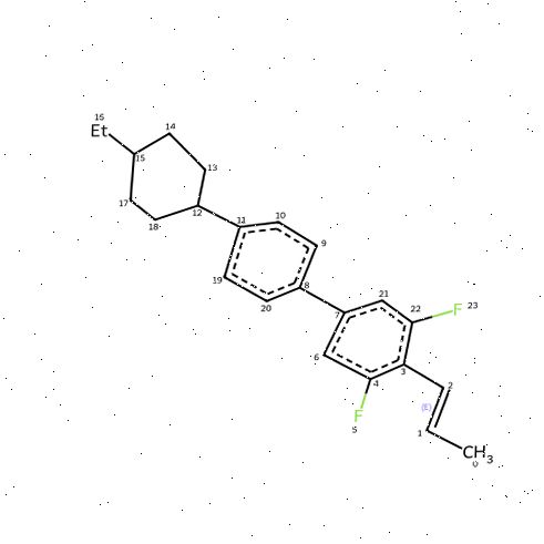 C/C=C/c1c(F)cc(-c2ccc(C3CCC(CC)CC3)cc2)cc1F